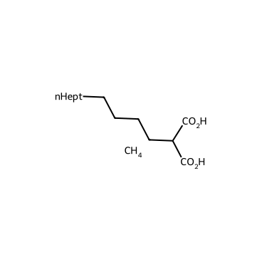 C.CCCCCCCCCCCC(C(=O)O)C(=O)O